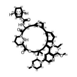 CCn1c(-c2cc(N3CCN(C)CC3)cnc2[C@H](C)OC)c2c3cc(ccc31)-c1csc(n1)C[C@H](NC(=O)[C@H]1C[C@@H]3CC[C@H]1O3)C(=O)N1CCC[C@H](N1)C(=O)OCC(C)(C)C2